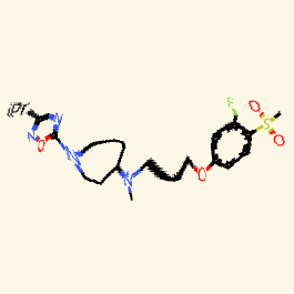 CC(C)c1noc(N2CCC(N(C)CCCOc3ccc(S(C)(=O)=O)c(F)c3)CC2)n1